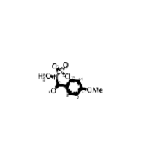 COc1ccc(C(=O)N(C)S(=O)(=O)Cl)cc1